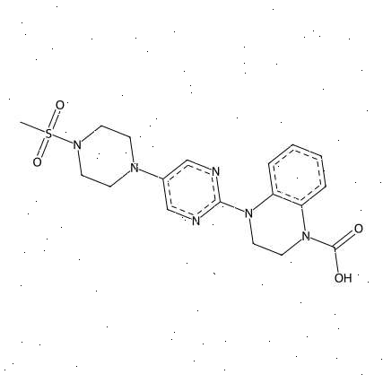 CS(=O)(=O)N1CCN(c2cnc(N3CCN(C(=O)O)c4ccccc43)nc2)CC1